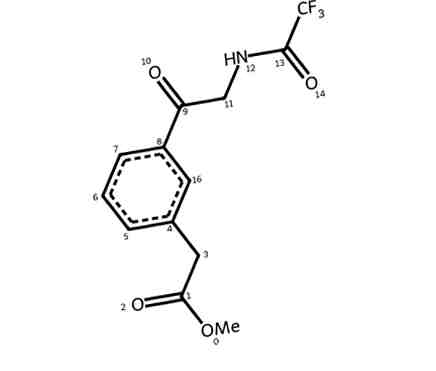 COC(=O)Cc1cccc(C(=O)CNC(=O)C(F)(F)F)c1